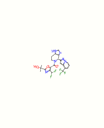 CC(C)(O)c1nc(C(F)F)c(C(=O)N2CCc3[nH]cnc3[C@H]2c2cc3c(C(F)(F)F)cccn3n2)o1